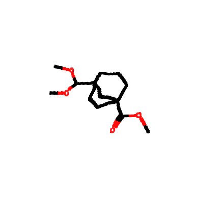 COC(=O)C12CCCC(C(OC)OC)(CC1)C2